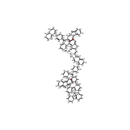 C/C(=C\c1sc2cccc(-c3ccccc3N(c3ccc(-c4cccc5ccccc45)cc3)c3ccc4c(c3)sc3ccccc34)c2c1C)c1ccc2c(-c3ccc(N(c4ccc(-c5ccc6c(c5)C5(c7ccccc7-c7ccccc75)c5ccccc5-6)cc4)c4ccccc4-c4cccc5sc6ccccc6c45)cc3)cccc2c1